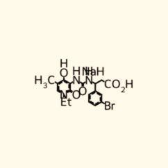 CCn1cc(C)c(O)c(NC(=O)NC(CC(=O)O)c2cccc(Br)c2)c1=O.[NaH]